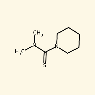 CN(C)C(=S)N1CCCCC1